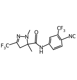 [C-]#[N+]c1ccc(NC(=O)C2(C)CC(C(F)(F)F)=NN2C)cc1C(F)(F)F